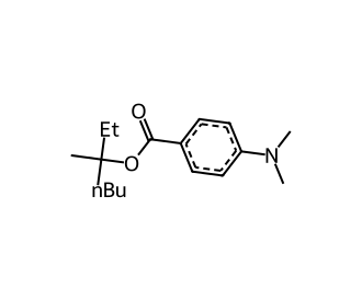 CCCCC(C)(CC)OC(=O)c1ccc(N(C)C)cc1